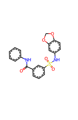 O=C(Nc1ccccc1)c1cccc(S(=O)(=O)Nc2ccc3c(c2)OCO3)c1